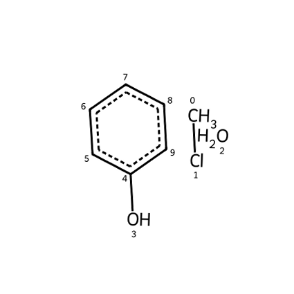 CCl.O.Oc1ccccc1